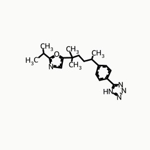 CC(C)c1ncc(C(C)(C)CCC(C)c2ccc(-c3nnn[nH]3)cc2)o1